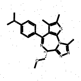 COC[C@@H]1N=C(c2ccc(C(C)C)cc2)c2c(sc(C)c2C)-n2c(C)nnc21